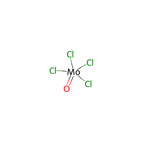 [O]=[Mo]([Cl])([Cl])([Cl])[Cl]